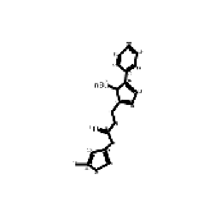 CCCCC1C(CCC(=O)CC2=CCC(C)=C2)=CC=C1c1ccccc1